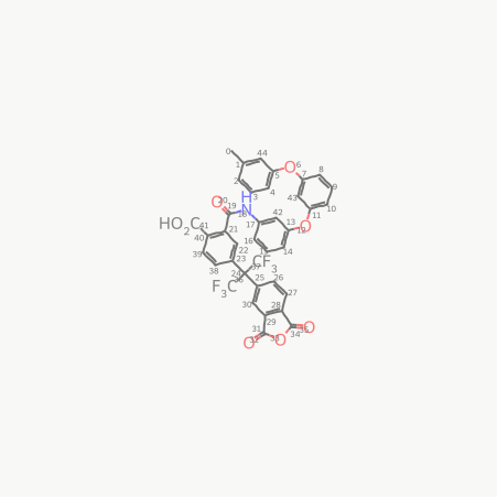 Cc1cccc(Oc2cccc(Oc3cccc(NC(=O)c4cc(C(c5ccc6c(c5)C(=O)OC6=O)(C(F)(F)F)C(F)(F)F)ccc4C(=O)O)c3)c2)c1